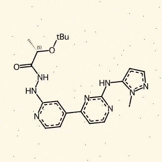 C[C@H](OC(C)(C)C)C(=O)NNc1cc(-c2ccnc(Nc3ccnn3C)n2)ccn1